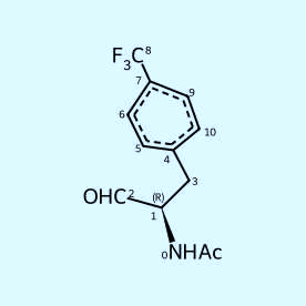 CC(=O)N[C@@H](C=O)Cc1ccc(C(F)(F)F)cc1